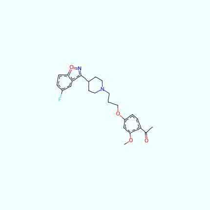 COc1cc(OCCCN2CCC(c3noc4ccc(F)cc34)CC2)ccc1C(C)=O